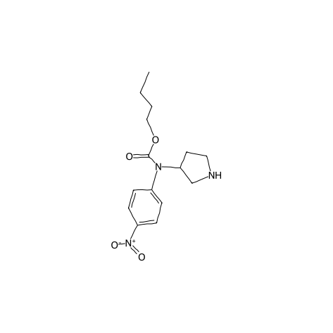 CCCCOC(=O)N(c1ccc([N+](=O)[O-])cc1)C1CCNC1